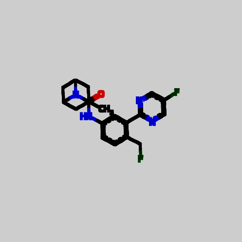 CC1CC2CC(C1)N2C(=O)Nc1ccc(CF)c(-c2ncc(F)cn2)c1